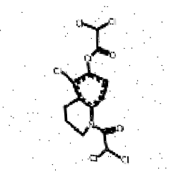 O=C(Oc1ccc2c(c1Cl)CCCN2C(=O)C(Cl)Cl)C(Cl)Cl